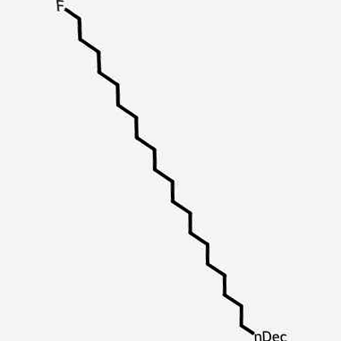 CCCCCCCCCCCCCCCCCCCCCCCCCCCCCCF